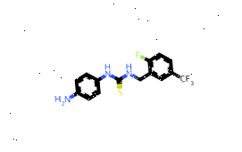 Nc1ccc(NC(=S)NCc2cc(C(F)(F)F)ccc2F)cc1